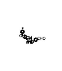 O=CN1CCC(n2ccc3c(=O)n(CC4(O)CCN(C(=O)c5ccc(F)cc5)CC4)cnc32)CC1